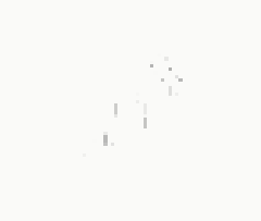 CC(C)(C)OC(=O)N1C[C@@H]2C(C(=O)NC(C)(C)c3nn4c5c(cccc35)CC4)[C@@H]2C1